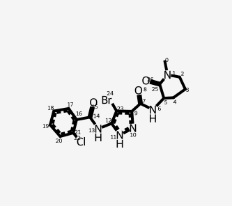 CN1CCCC(NC(=O)c2n[nH]c(NC(=O)c3ccccc3Cl)c2Br)C1=O